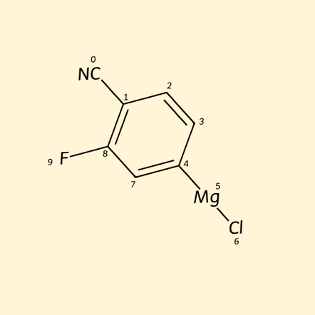 N#Cc1cc[c]([Mg][Cl])cc1F